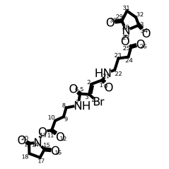 O=C(/C=C(\Br)C(=O)NCCCC(=O)ON1C(=O)CCC1=O)NCCCC(=O)ON1C(=O)CCC1=O